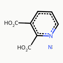 O=C(O)c1cccnc1C(=O)O.[N]